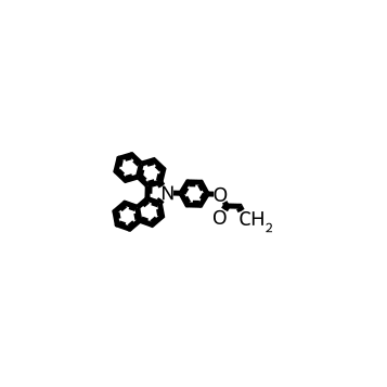 C=CC(=O)Oc1ccc(-n2c3ccc4ccccc4c3c3c4ccccc4ccc32)cc1